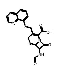 O=CNC1C(=O)N2C(C(=O)O)=C(CSc3cccc4cccnc34)CSC12